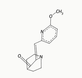 COc1cccc(/C=C2/C(=O)C3CCN2CC3)n1